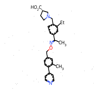 CCc1cc(/C(C)=N/OCc2ccc(-c3ccncc3)c(C)c2)ccc1CN1CC[C@H](C(=O)O)C1